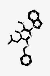 COC1=C(n2ccc3ccccc32)N=C(OCc2ccccc2)C(CC(C)C)N1C